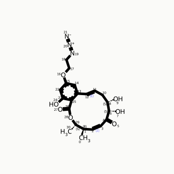 C[C@@H]1/C=C\C(=O)[C@@H](O)[C@@H](O)C/C=C/c2cc(OCCN=[N+]=[N-])cc(O)c2C(=O)O[C@H]1C